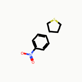 C1CCSC1.O=[N+]([O-])c1ccccc1